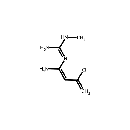 C=C(Cl)/C=C(N)\N=C(/N)NC